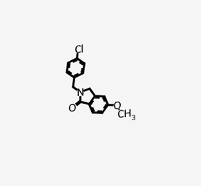 COc1ccc2c(c1)CN(Cc1ccc(Cl)cc1)C2=O